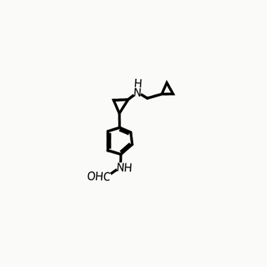 O=CNc1ccc(C2CC2NCC2CC2)cc1